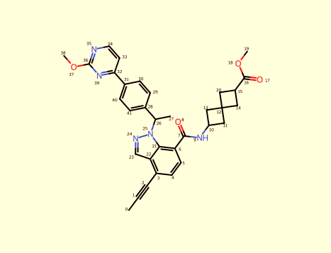 CC#Cc1ccc(C(=O)NC2CC3(C2)CC(C(=O)OC)C3)c2c1cnn2C(C)c1ccc(-c2ccnc(OC)n2)cc1